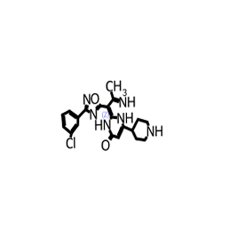 CC(=N)/C(=C1/NC(=O)C=C(C2CCNCC2)N1)c1nc(-c2cccc(Cl)c2)no1